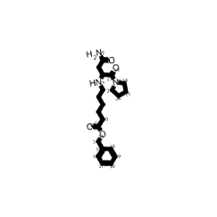 NC(=O)CC(NCCCCCC(=O)OCc1ccccc1)C(=O)N1CCCC1